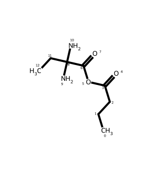 CCCC(=O)OC(=O)C(N)(N)CC